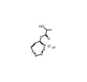 CC(O)C(=O)OC1=NN=NN=NC=C1.[Cl-].[H+]